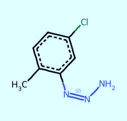 Cc1ccc(Cl)cc1/N=N\N